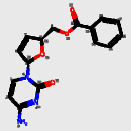 Nc1ccn([C@H]2C=C[C@@H](COC(=O)c3ccccc3)O2)c(=O)n1